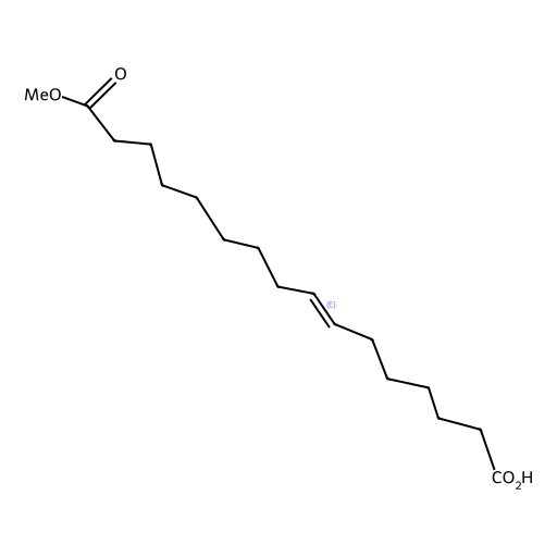 COC(=O)CCCCCCC/C=C/CCCCCC(=O)O